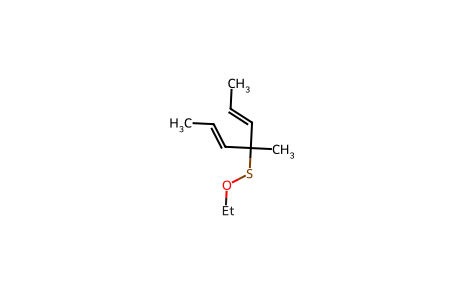 CC=CC(C)(C=CC)SOCC